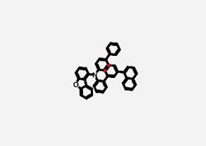 c1ccc(-c2ccc(N(c3ccccc3-c3cccc(-c4cccc5ccccc45)c3)c3cccc4oc5ccccc5c34)cc2)cc1